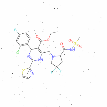 CCOC(=O)C1=C(CN2CC(F)(F)CC2C(=O)NS(C)(=O)=O)NC(c2nccs2)=NC1c1ccc(F)cc1Cl